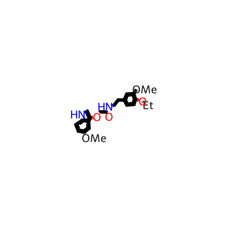 CCOc1ccc(CCNC(=O)COc2c[nH]c3ccc(OC)cc23)cc1OC